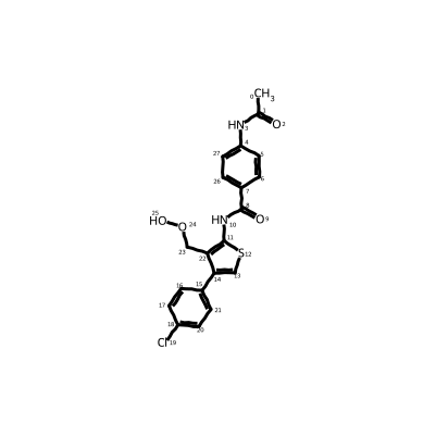 CC(=O)Nc1ccc(C(=O)Nc2scc(-c3ccc(Cl)cc3)c2COO)cc1